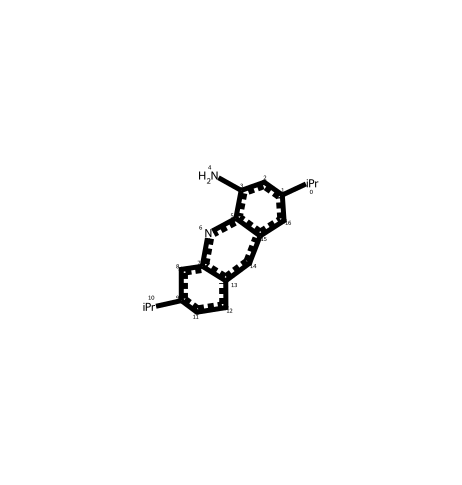 CC(C)c1cc(N)c2nc3cc(C(C)C)ccc3cc2c1